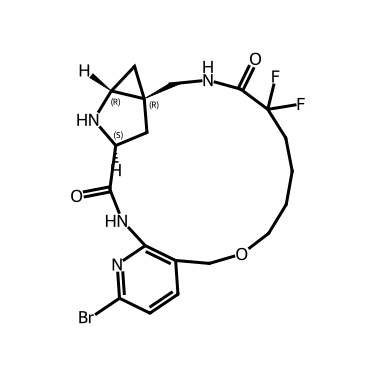 O=C1Nc2nc(Br)ccc2COCCCCC(F)(F)C(=O)NC[C@@]23C[C@@H]1N[C@@H]2C3